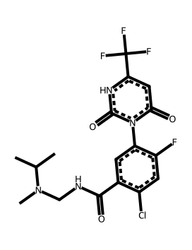 CC(C)N(C)CNC(=O)c1cc(-n2c(=O)cc(C(F)(F)F)[nH]c2=O)c(F)cc1Cl